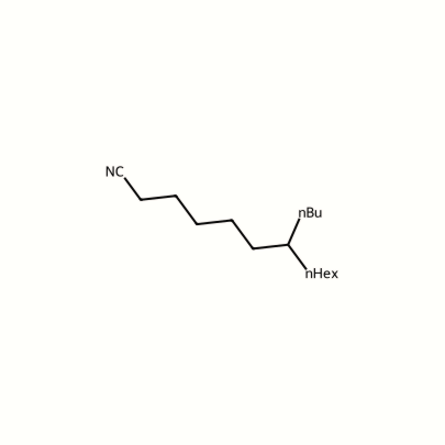 CCCCCCC(CCCC)CCCCCC#N